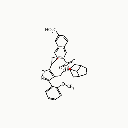 O=C(O)c1ccc2cc(S(=O)(=O)NC3C4CCC3CC(OCc3c(-c5ccccc5OC(F)(F)F)noc3C3CC3)C4)ccc2c1